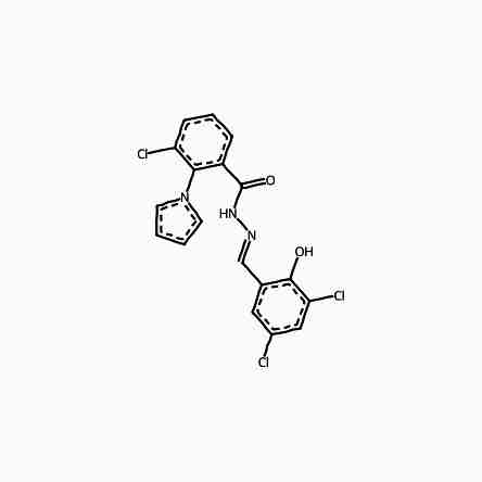 O=C(NN=Cc1cc(Cl)cc(Cl)c1O)c1cccc(Cl)c1-n1cccc1